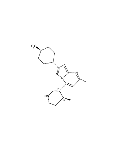 Cc1cc([C@H]2CNCC[C@@H]2C)n2nc([C@H]3CC[C@H](C(F)(F)F)CC3)cc2n1